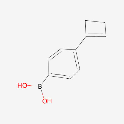 OB(O)c1ccc(C2=CCC2)cc1